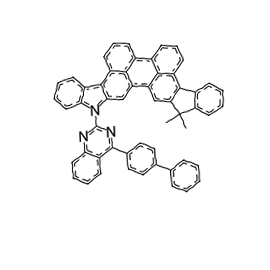 CC1(C)c2ccccc2-c2c1cc1c3cc4c(c5cccc(c6cccc2c61)c35)c1ccccc1n4-c1nc(-c2ccc(-c3ccccc3)cc2)c2ccccc2n1